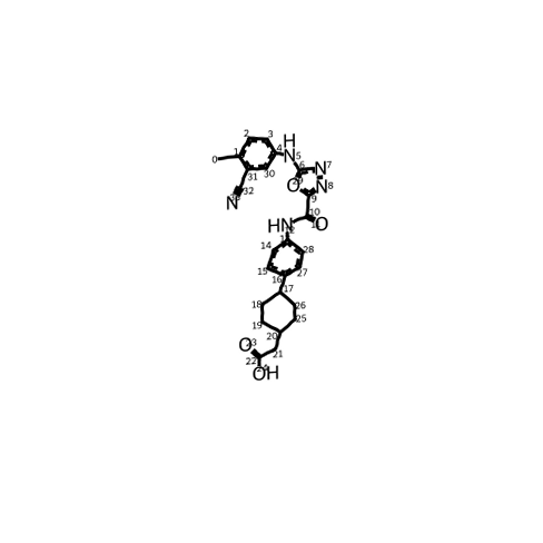 Cc1ccc(Nc2nnc(C(=O)Nc3ccc(C4CCC(CC(=O)O)CC4)cc3)o2)cc1C#N